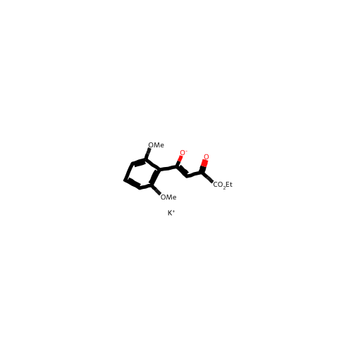 CCOC(=O)C(=O)C=C([O-])c1c(OC)cccc1OC.[K+]